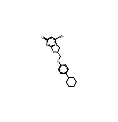 CCCc1cc(=O)nc2n1C[C@@H](COc1ccc(C3CCCCC3)cc1)O2